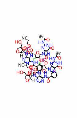 CC(C)C(=O)Nc1nc2c(ncn2[C@@H]2O[C@H](COP(=O)(OCCC#N)O[C@H]3[C@H]4OCC3(CO)O[C@H]4n3cnc4c(NC(=O)c5ccccc5)ncnc43)[C@@H](F)[C@H]2O[PH](=O)O[C@@H]2[C@H](F)[C@@H](COP(=O)(OCCC#N)O[C@H]3[C@H]4OCC3(CO)O[C@H]4n3cnc4c(NC(=O)c5ccccc5)ncnc43)O[C@H]2n2cnc3c(=O)[nH]c(NC(=O)C(C)C)nc32)c(=O)[nH]1